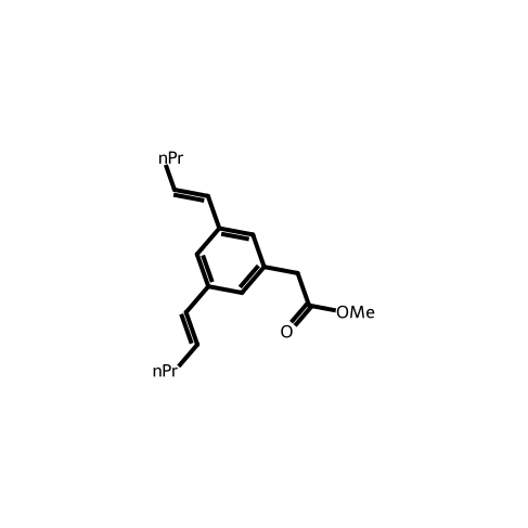 CCC/C=C/c1cc(/C=C/CCC)cc(CC(=O)OC)c1